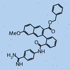 COc1ccc2cc(C(=O)OCc3ccccc3)c(-c3ccccc3C(=O)Nc3ccc(C(=N)N)cc3)cc2c1